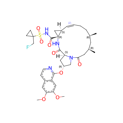 COc1cc2ccnc(O[C@@H]3C[C@H]4C(=O)N[C@]5(C(=O)NS(=O)(=O)C6(CF)CC6)C[C@H]5/C=C\CC[C@@H](C)C[C@@H](C)CC(=O)N4C3)c2cc1OC